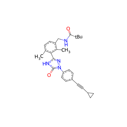 Cc1ccc(CNC(=O)C(C)(C)C)c(C)c1-c1nn(-c2ccc(C#CC3CC3)cc2)c(=O)[nH]1